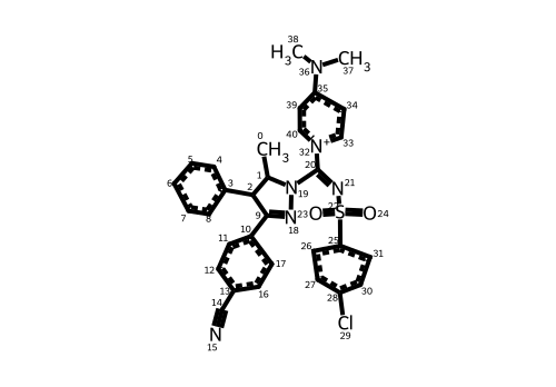 CC1C(c2ccccc2)C(c2ccc(C#N)cc2)=NN1/C(=N\S(=O)(=O)c1ccc(Cl)cc1)[n+]1ccc(N(C)C)cc1